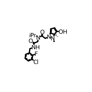 CC(C)N(CC(=O)NCc1cccc(Cl)c1F)C(=O)CN1C2=CC=C(O)[C@@]2(C)N1C